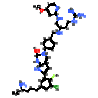 COc1ccnc(NC[C@@H](CCNC(=N)N)NCc2ccc(N3C=c4cc(-c5cc(CCC[C@H](C)N)cc(Cl)c5F)[nH]c4=NC3O)cc2)c1